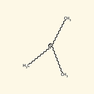 CCCCCCCCCCCCCCCCc1n(CCCCCCCCCCCCCCCC)cc[n+]1CCCCCCCCCCCCCCC